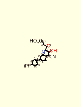 CC(C)c1ccc(-c2ccc3c(C#N)c(O)c(C(=O)CCC(=O)O)nc3c2)cc1